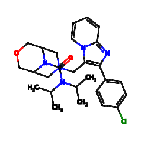 CC(C)N(C(=O)N1C2COCC1CN(Cc1c(-c3ccc(Cl)cc3)nc3ccccn13)C2)C(C)C